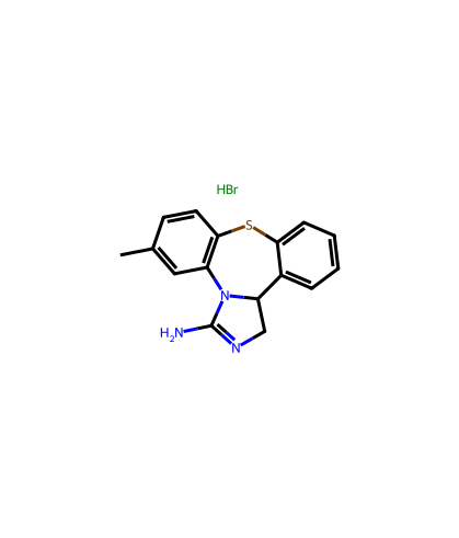 Br.Cc1ccc2c(c1)N1C(N)=NCC1c1ccccc1S2